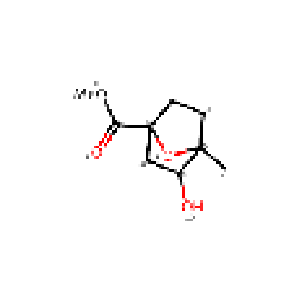 COC(=O)C12CCC(C)(O1)C(O)C2